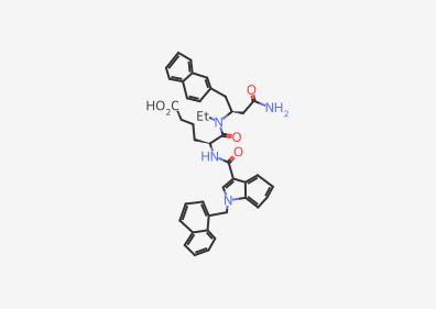 CCN(C(=O)[C@H](CCCC(=O)O)NC(=O)c1cn(Cc2cccc3ccccc23)c2ccccc12)[C@H](CC(N)=O)Cc1ccc2ccccc2c1